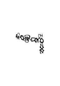 CN1CC2(C1)CN(c1cccc([C@H](O)c3cc4c(cn3)CN(S(=O)(=O)c3ccc(-c5ncco5)cc3)C4)c1)C2